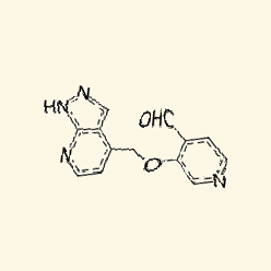 O=Cc1ccncc1OCc1ccnc2[nH]ncc12